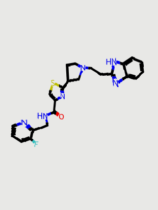 O=C(NCc1ncccc1F)c1csc(C2CCN(CCc3nc4ccccc4[nH]3)C2)n1